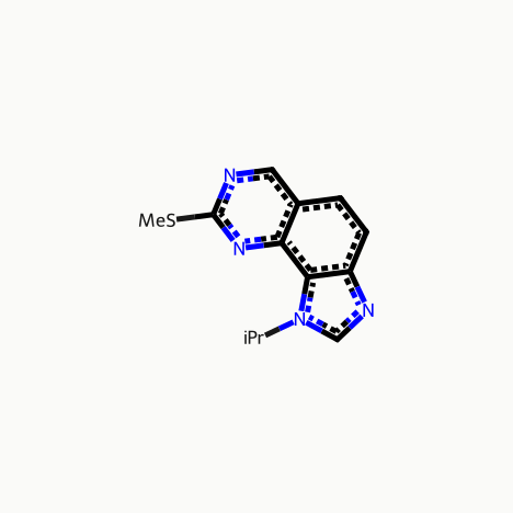 CSc1ncc2ccc3ncn(C(C)C)c3c2n1